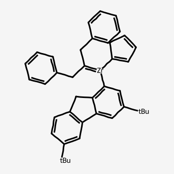 CC(C)(C)c1ccc2c(c1)-c1cc(C(C)(C)C)c[c]([Zr]([C]3=CC=CC3)=[C](Cc3ccccc3)Cc3ccccc3)c1C2